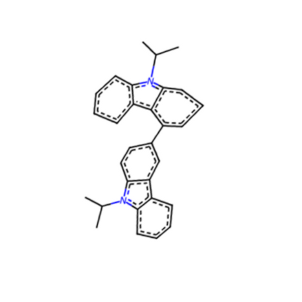 CC(C)n1c2ccccc2c2cc(-c3cccc4c3c3ccccc3n4C(C)C)ccc21